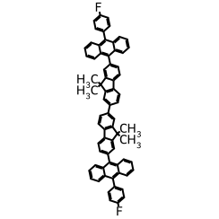 CC1(C)c2cc(-c3ccc4c(c3)C(C)(C)c3cc(-c5c6ccccc6c(-c6ccc(F)cc6)c6ccccc56)ccc3-4)ccc2-c2ccc(-c3c4ccccc4c(-c4ccc(F)cc4)c4ccccc34)cc21